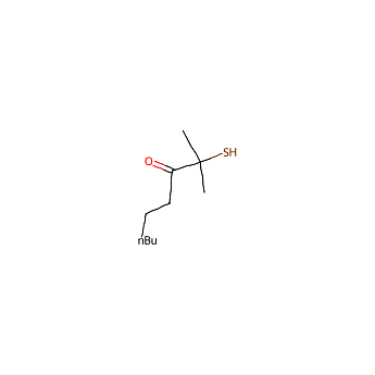 CCCCCCC(=O)C(C)(C)S